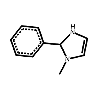 CN1C=CNC1c1ccccc1